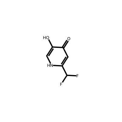 O=c1cc(C(F)F)[nH]cc1O